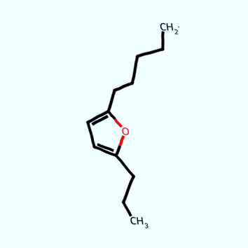 [CH2]CCCCc1ccc(CCC)o1